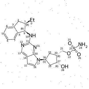 CC[C@@H]1Cc2ccccc2[C@@H]1Nc1ncc2ccn([C@H]3C[C@H](COS(N)(=O)=O)[C@H](O)C3)c2n1